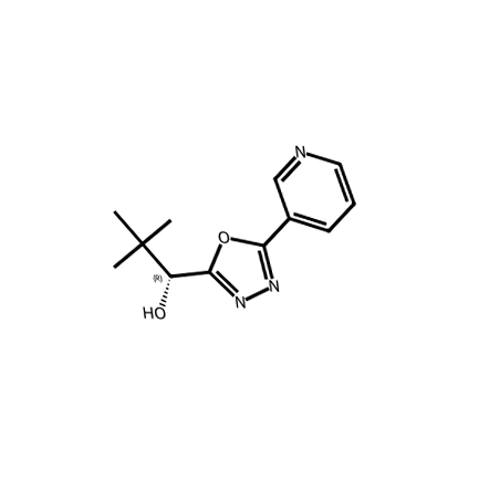 CC(C)(C)[C@@H](O)c1nnc(-c2cccnc2)o1